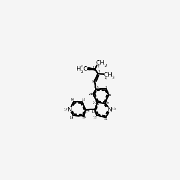 C=C(C)/C(C)=C/c1ccc2nccc(-c3ccncc3)c2c1